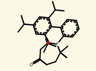 C=C1CC(=O)CCC(C)(C)P1c1ccccc1-c1c(C(C)C)cc(C(C)C)cc1C(C)C